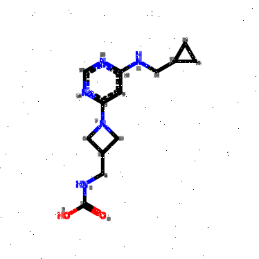 O=C(O)NCC1CN(c2cc(NCC3CC3)ncn2)C1